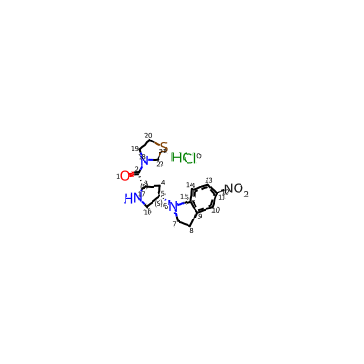 Cl.O=C([C@@H]1C[C@H](N2CCc3cc([N+](=O)[O-])ccc32)CN1)N1CCSC1